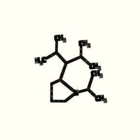 CC(C)C(C(C)C)C1CCCN1C(C)C